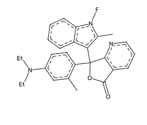 CCN(CC)c1ccc(C2(c3c(C)n(F)c4ccccc34)OC(=O)c3cccnc32)c(C)c1